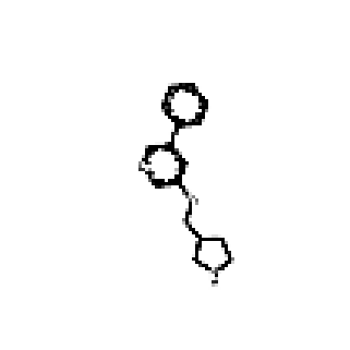 c1ccc(-c2cncc(OCC3CCNC3)c2)cc1